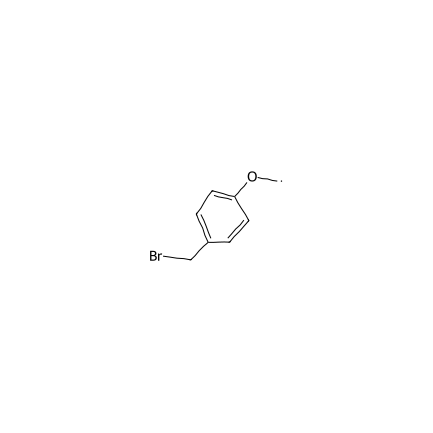 [CH2]Oc1ccc(CBr)cc1